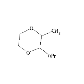 CCCC1OCCOC1C